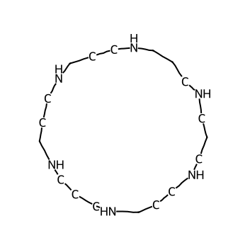 C1CNCCCNCCCNCCCNCCCNCCCNC1